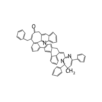 C=C1C=C(c2ccccc2)N=C(/C=C2/Cc3ccc(-c4cccc5c4-c4nc6ccccc6cc4CC(=O)/C=C\5Cc4ccccc4)cc3-c3ccccc32)N=C1c1ccccc1